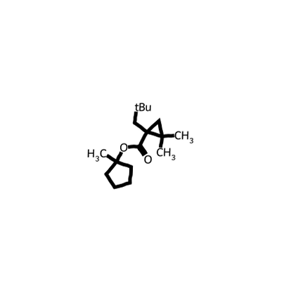 CC(C)(C)CC1(C(=O)OC2(C)CCCC2)CC1(C)C